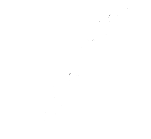 CCCCCc1ccc([C@H]2CC[C@H](/C=C/C#Cc3ccc([C@H]4CC[C@H](CCCC)CC4)cc3)CC2)cc1